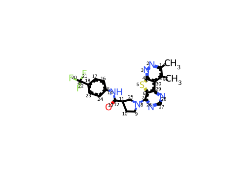 Cc1nnc2sc3c(N4CCC(C(=O)Nc5ccc(C(F)(F)F)cc5)C4)ncnc3c2c1C